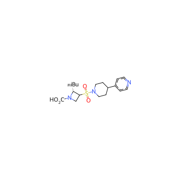 CC[C@@H](C)C1C(S(=O)(=O)N2CCC(c3ccncc3)CC2)CN1C(=O)O